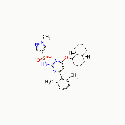 Cc1cccc(C)c1-c1cc(OC2CCC[C@H]3CCCC[C@@H]23)nc(NS(=O)(=O)c2cnn(C)c2)n1